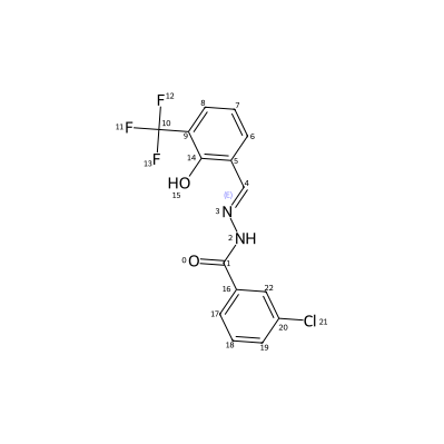 O=C(N/N=C/c1cccc(C(F)(F)F)c1O)c1cccc(Cl)c1